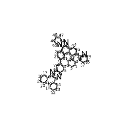 c1ccc(-c2cc3nc(-c4ccccc4)c(-c4ccccc4)nc3cc2-c2ccc3c(c2)c2cc(-c4ccccn4)ccc2c2nc4ccccn4c32)cc1